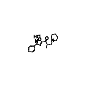 CC(CN1CCCCC1)C(=O)c1cc(-c2ccccc2)no1.Cl